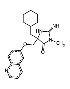 CN1C(=N)NC(COc2ccc3ncccc3c2)(CC2CCCCC2)C1=O